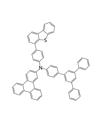 c1ccc(-c2cc(-c3ccccc3)cc(-c3ccc(N(c4ccc(-c5cccc6c5sc5ccccc56)cc4)c4ccc5c6ccccc6c6ccccc6c5c4)cc3)c2)cc1